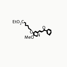 CCOC(=O)CCCCCOc1cc(C=CC(=O)c2ccccc2)ncc1OC